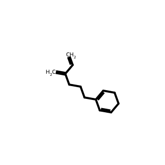 C=CC(=C)CCCC1=CCCC=C1